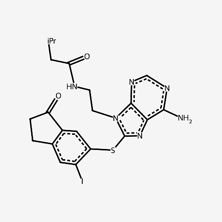 CC(C)CC(=O)NCCn1c(Sc2cc3c(cc2I)CCC3=O)nc2c(N)ncnc21